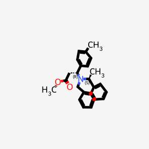 COC(=O)C[C@H](c1ccc(C)cc1)N(Cc1ccccc1)[C@@H](C)c1ccccc1